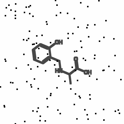 CC(NCc1ccccc1O)C(=O)O